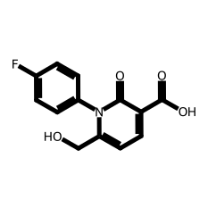 O=C(O)c1ccc(CO)n(-c2ccc(F)cc2)c1=O